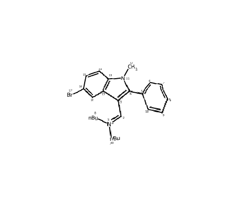 CCCC[N+](=Cc1c(-c2ccccc2)n(C)c2ccc(Br)cc12)CCCC